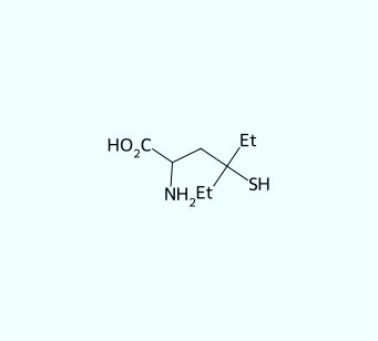 CCC(S)(CC)CC(N)C(=O)O